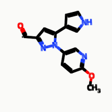 COc1ccc(-n2nc([C]=O)cc2-c2cc[nH]c2)cn1